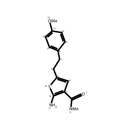 CNC(=O)c1cc(CCc2ccc(OC)cc2)sc1N